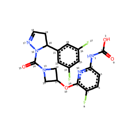 O=C(O)Nc1ccc(F)c(OC2CN(C(=O)N3N=CCC3c3cc(F)cc(F)c3)C2)n1